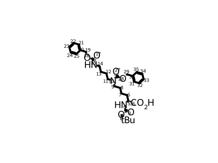 CC(C)(C)OC(=O)N[C@@H](CCCCN(CCCCNC(=O)OCc1ccccc1)C(=O)OCc1ccccc1)C(=O)O